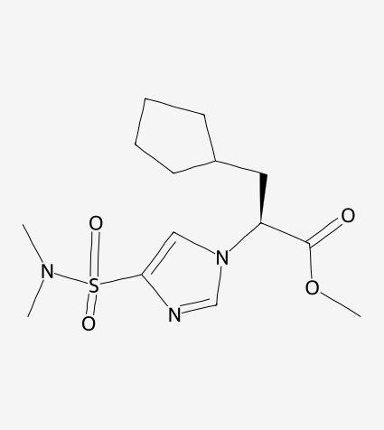 COC(=O)[C@H](CC1CCCC1)n1cnc(S(=O)(=O)N(C)C)c1